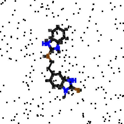 Cn1c(=S)[nH]c2cc(CCSc3nc4ccccc4[nH]3)ccc21